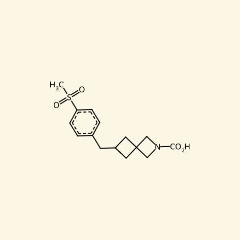 CS(=O)(=O)c1ccc(CC2CC3(C2)CN(C(=O)O)C3)cc1